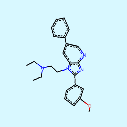 CCN(CC)CCn1c(-c2cccc(OC)c2)nc2ncc(-c3ccccc3)cc21